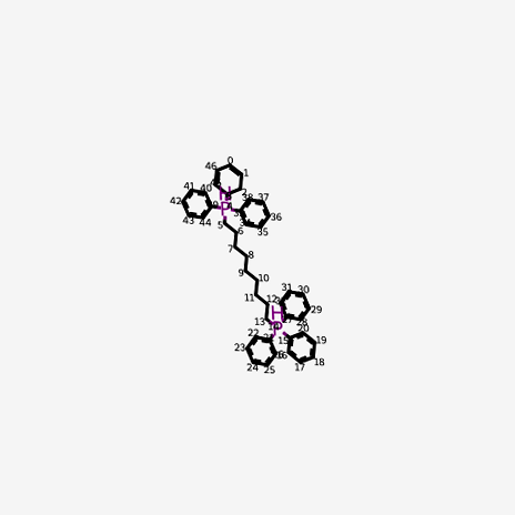 C1=CCC([PH](CCCCCCCCC[PH](c2ccccc2)(c2ccccc2)c2ccccc2)(c2ccccc2)c2ccccc2)C=C1